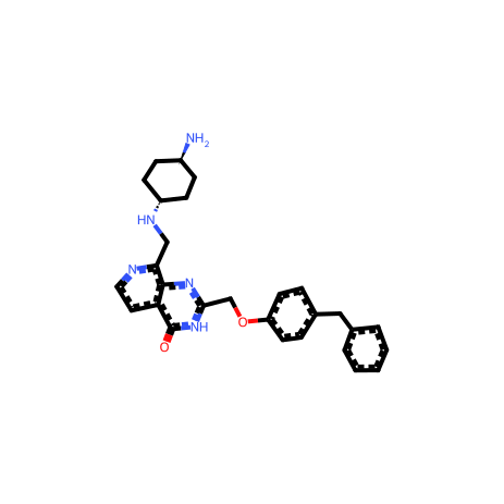 N[C@H]1CC[C@H](NCc2nccc3c(=O)[nH]c(COc4ccc(Cc5ccccc5)cc4)nc23)CC1